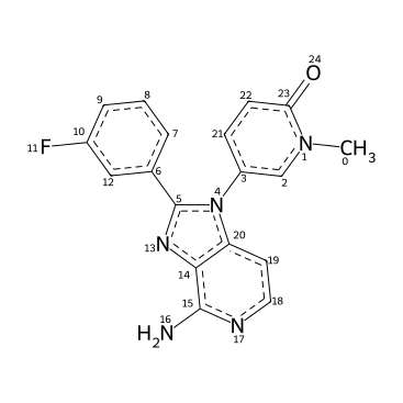 Cn1cc(-n2c(-c3cccc(F)c3)nc3c(N)nccc32)ccc1=O